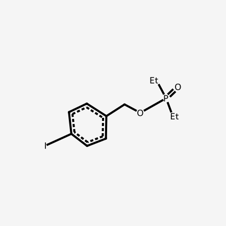 CCP(=O)(CC)OCc1ccc(I)cc1